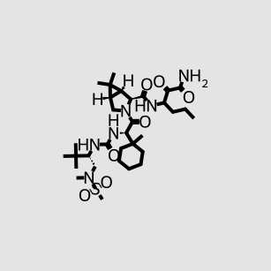 CCCC(NC(=O)[C@@H]1[C@@H]2[C@H](CN1C(=O)[C@@H](NC(=O)N[C@H](CN(C)S(C)(=O)=O)C(C)(C)C)C1(C)CCCCC1)C2(C)C)C(=O)C(N)=O